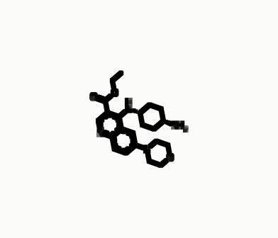 CCOC(=O)c1cnc2ccc(N3CCOCC3)cc2c1N[C@H]1CC[C@H](N)CC1